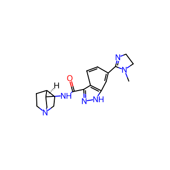 CN1CCN=C1c1ccc2c(C(=O)N[C@H]3CN4CCC3CC4)n[nH]c2c1